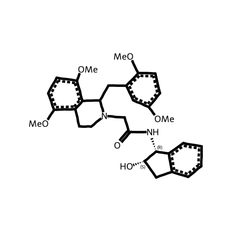 COc1ccc(OC)c(CC2c3c(OC)ccc(OC)c3CCN2CC(=O)N[C@@H]2c3ccccc3C[C@@H]2O)c1